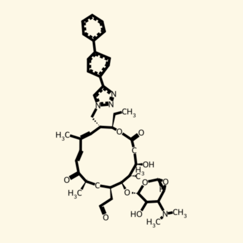 CC[C@H]1OC(=O)C[C@@H](O)[C@H](C)[C@@H](O[C@@H]2O[C@@H]3OC3C(N(C)C)C2O)[C@@H](CC=O)C[C@@H](C)C(=O)/C=C/C(C)=C/[C@@H]1Cn1cc(-c2ccc(-c3ccccc3)cc2)nn1